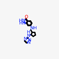 O=c1[nH][nH]c2cc(NCC3CCCC3Nc3nccnn3)ccc12